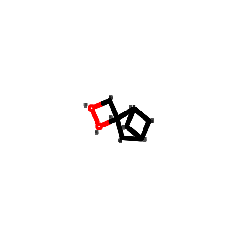 C1[C]2CC1CC21COO1